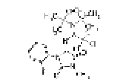 CN1C(=O)/C(=N\C(N(C(C)(C)C)C(C)(C)C)C(Cl)(Cl)Cl)N(c2ccccc2F)C1=O